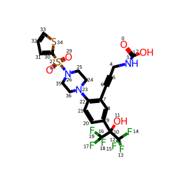 O=C(O)NCC#Cc1cc(C(O)(C(F)(F)F)C(F)(F)F)ccc1N1CCN(S(=O)(=O)c2cccs2)CC1